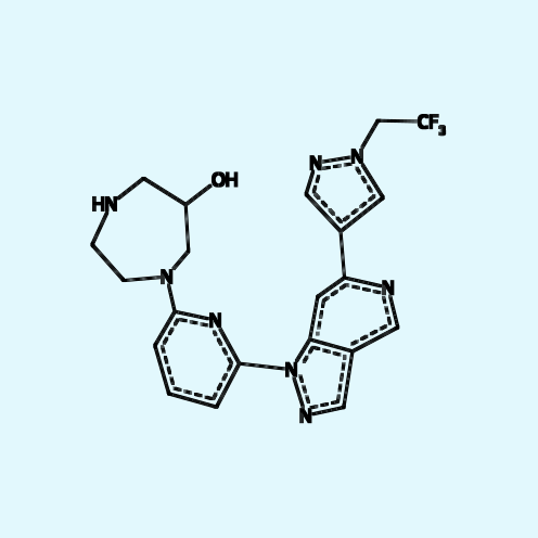 OC1CNCCN(c2cccc(-n3ncc4cnc(-c5cnn(CC(F)(F)F)c5)cc43)n2)C1